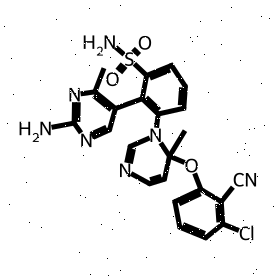 Cc1nc(N)ncc1-c1c(N2C=NC=CC2(C)Oc2cccc(Cl)c2C#N)cccc1S(N)(=O)=O